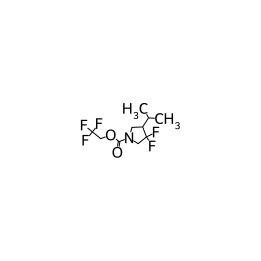 CC(C)C1CN(C(=O)OCC(F)(F)F)CC1(F)F